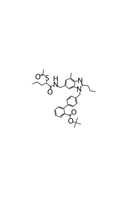 CCCc1nc2c(C)cc(CNC(=O)C(CCC)SC(C)=O)cc2n1Cc1ccc(-c2ccccc2C(=O)OC(C)(C)C)cc1